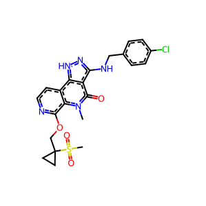 Cn1c(=O)c2c(NCc3ccc(Cl)cc3)n[nH]c2c2ccnc(OCC3(S(C)(=O)=O)CC3)c21